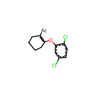 CC(=O)C1=C(Oc2cc(Cl)ccc2Cl)CCCC1